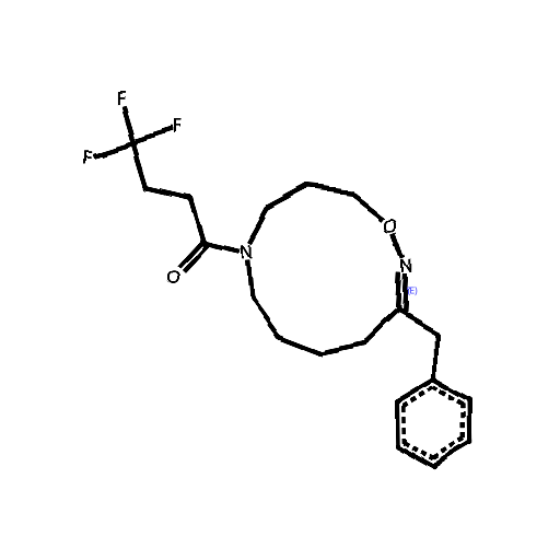 O=C(CCC(F)(F)F)N1CCCC/C(Cc2ccccc2)=N\OCCC1